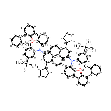 Cc1ccccc1-c1cccc2c1oc1c(N(c3cccc(C(C)(C)C)c3)c3cc(C4CCCC4)c4ccc5c(N(c6cccc(C(C)(C)C)c6)c6cccc7c6oc6c(-c8ccccc8C)cccc67)cc(C6CCCC6)c6ccc3c4c65)cccc12